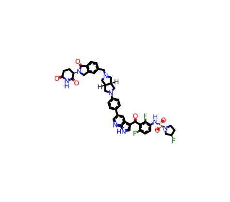 O=C1CC[C@H](N2Cc3cc(CN4C[C@@H]5CN(c6ccc(-c7cnc8[nH]cc(C(=O)c9c(F)ccc(NS(=O)(=O)N%10CC[C@@H](F)C%10)c9F)c8c7)cc6)C[C@@H]5C4)ccc3C2=O)C(=O)N1